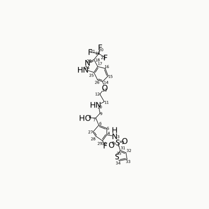 O=S(=O)(Nc1cc(C(O)CNCCOc2ccc3c(C(F)(F)F)n[nH]c3c2)ccc1F)c1cccs1